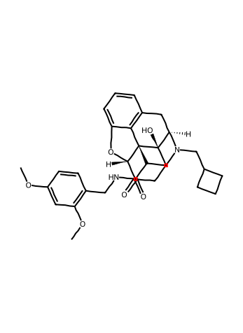 COc1ccc(CNC(=O)C2CN(CC3CCC3)[C@@H]3Cc4cccc5c4[C@]24[C@@H](O5)C(=O)CC[C@@]34O)c(OC)c1